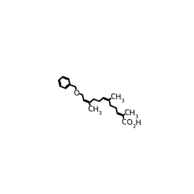 CC(=CCCC(C)=CCOCc1ccccc1)CCC=C(C)C(=O)O